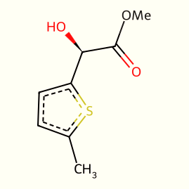 COC(=O)[C@H](O)c1ccc(C)s1